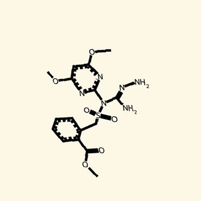 COC(=O)c1ccccc1CS(=O)(=O)N(C(N)=NN)c1nc(OC)cc(OC)n1